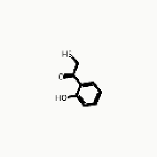 O=C(CS)c1ccccc1O